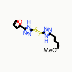 CO/C=C\C=C\c1nnc(SSc2nnc(-c3ccco3)[nH]2)[nH]1